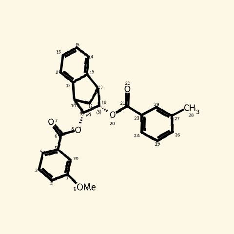 COc1cccc(C(=O)O[C@@H]2C3CC(c4ccccc43)[C@@H]2OC(=O)c2cccc(C)c2)c1